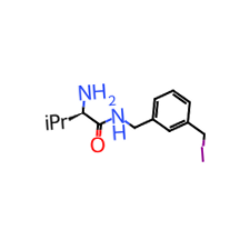 CC(C)[C@@H](N)C(=O)NCc1cccc(CI)c1